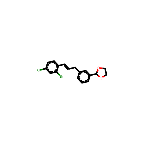 Clc1ccc(/C=C/Cc2cccc(C3OCCO3)c2)c(Br)c1